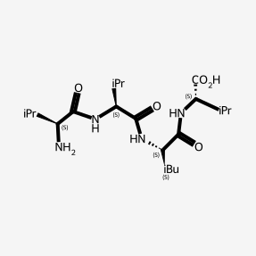 CC[C@H](C)[C@H](NC(=O)[C@@H](NC(=O)[C@@H](N)C(C)C)C(C)C)C(=O)N[C@H](C(=O)O)C(C)C